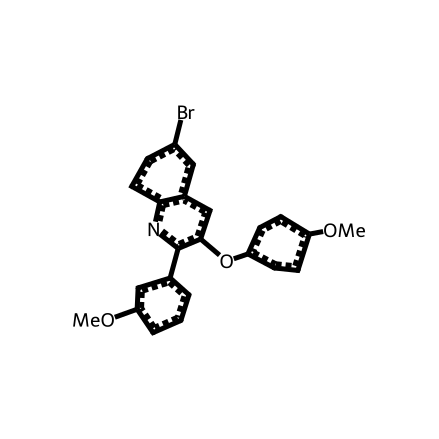 COc1ccc(Oc2cc3cc(Br)ccc3nc2-c2cccc(OC)c2)cc1